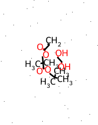 C=CC(=O)OCC(C)(C)C(=O)OCC(C)(C)C.OCCO